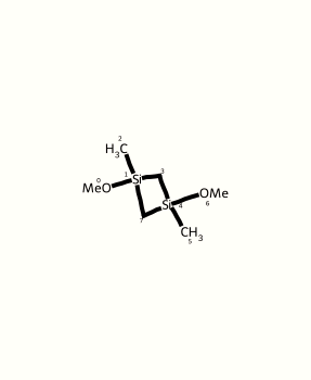 CO[Si]1(C)C[Si](C)(OC)C1